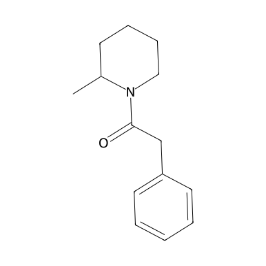 CC1CCCCN1C(=O)Cc1ccccc1